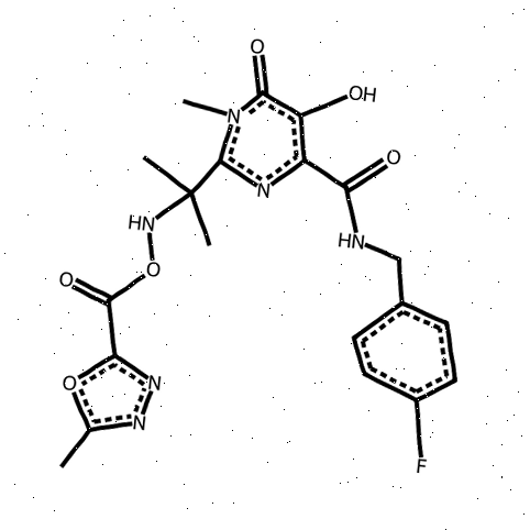 Cc1nnc(C(=O)ONC(C)(C)c2nc(C(=O)NCc3ccc(F)cc3)c(O)c(=O)n2C)o1